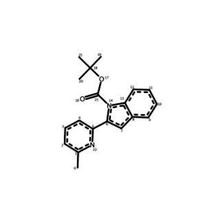 Cc1cccc(-c2cc3ccccc3n2C(=O)OC(C)(C)C)n1